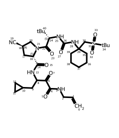 C=CCNC(=O)C(=O)C(CC1CC1)NC(=O)[C@@H]1C[C@@H](C#N)CN1C(=O)[C@@H](NC(=O)NC1(CS(=O)(=O)C(C)(C)C)CCCCC1)C(C)(C)C